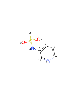 CS(=O)(=O)[N]c1cccnc1